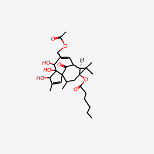 CCCCCC(=O)O[C@@]12CC(C)C34C=C(C)C(O)C3(O)C(O)C(COC(C)=O)=CC(C4=O)[C@H]1C2(C)C